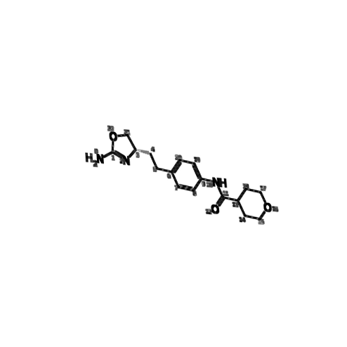 NC1=N[C@@H](CCc2ccc(NC(=O)C3CCOCC3)cc2)CO1